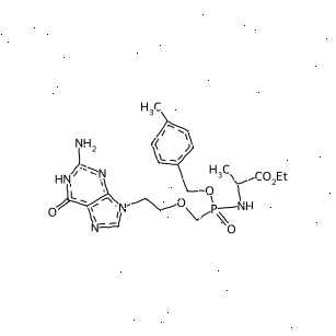 CCOC(=O)C(C)NP(=O)(COCCn1cnc2c(=O)[nH]c(N)nc21)OCc1ccc(C)cc1